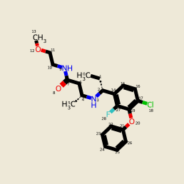 CC[C@@H](N[C@H](C)CC(=O)NCCOC)c1ccc(Cl)c(Oc2ccccc2)c1F